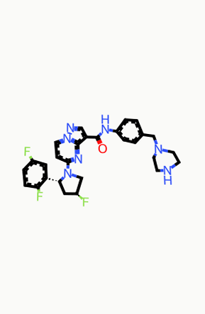 O=C(Nc1ccc(CN2CCNCC2)cc1)c1cnn2ccc(N3C[C@@H](F)C[C@@H]3c3cc(F)ccc3F)nc12